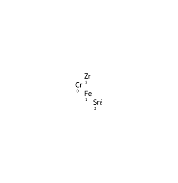 [Cr].[Fe].[Sn].[Zr]